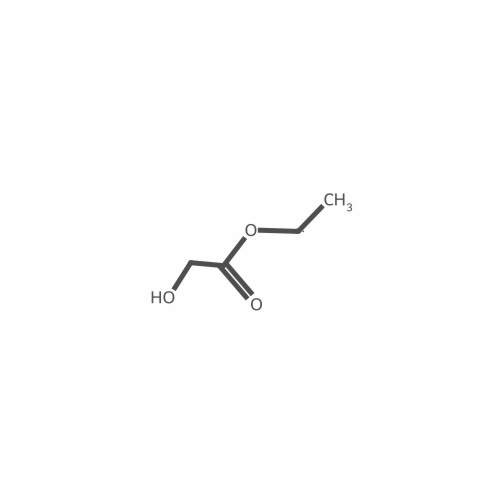 C[CH]OC(=O)CO